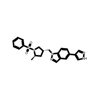 C[C@@H]1C[C@@H](Cn2ncc3cc(-c4cn[nH]c4)ccc32)CN1S(=O)(=O)c1ccccc1